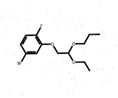 CCCOC(COc1cc(Br)ccc1F)OCC